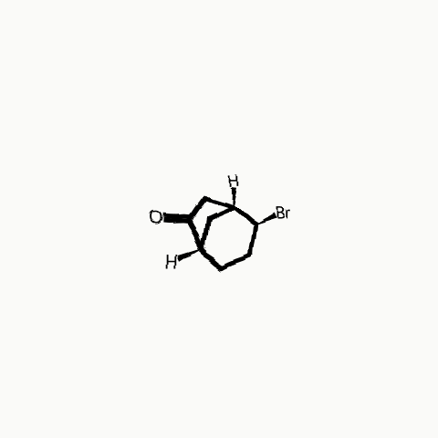 O=C1C[C@H]2C[C@@H]1CC[C@@H]2Br